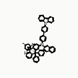 C[C@H]1C[C@@H]2C[C@@H](C)C[C@H](C1)C21c2ccccc2C(c2ccccc2)(c2ccccc2)c2cc(N(c3ccc(-c4ccc(-n5c6ccccc6c6ccccc65)cc4)cc3)c3ccc4ccccc4c3)ccc21